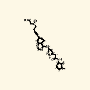 CCN(CCO)CCC#Cc1ccc2c(Nc3cc(CC(=O)Nc4cccc(Cl)c4F)[nH]n3)ncnc2c1